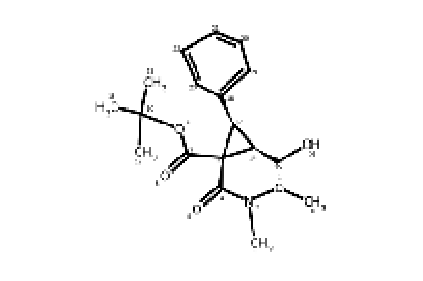 CON(C)C(=O)[C@]1(C(=O)OC(C)(C)C)[C@H](CO)[C@@H]1c1ccccc1